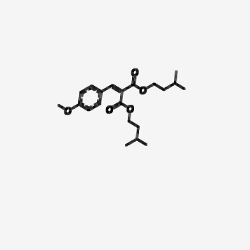 COc1ccc(C=C(C(=O)OCCC(C)C)C(=O)OCCC(C)C)cc1